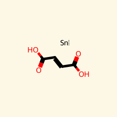 O=C(O)/C=C/C(=O)O.[Sn]